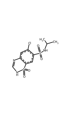 CC(C)NS(=O)(=O)c1cc2c(cc1Cl)N=CNS2(=O)=O